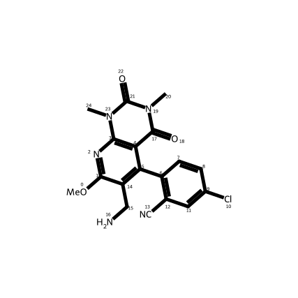 COc1nc2c(c(-c3ccc(Cl)cc3C#N)c1CN)c(=O)n(C)c(=O)n2C